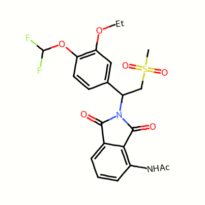 CCOc1cc(C(CS(C)(=O)=O)N2C(=O)c3cccc(NC(C)=O)c3C2=O)ccc1OC(F)F